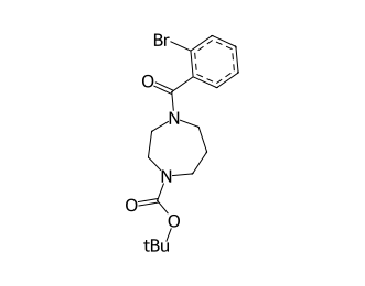 CC(C)(C)OC(=O)N1CCCN(C(=O)c2ccccc2Br)CC1